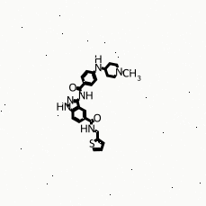 CN1CCC(Nc2ccc(C(=O)Nc3n[nH]c4ccc(C(=O)NCc5cccs5)cc34)cc2)CC1